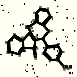 O=C(O)c1ccc(C2Sc3ccccc3NC3=C2C(=O)c2ccccc23)cc1